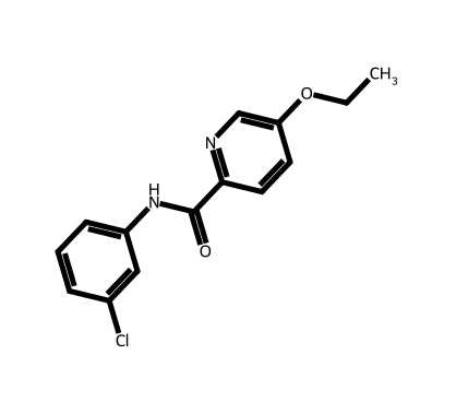 CCOc1ccc(C(=O)Nc2cccc(Cl)c2)nc1